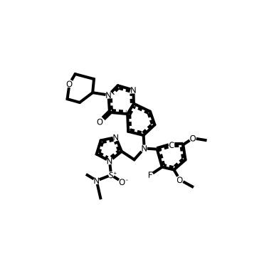 COc1cc(OC)c(F)c(N(Cc2nccn2[S+]([O-])N(C)C)c2ccc3ncn(C4CCOCC4)c(=O)c3c2)c1